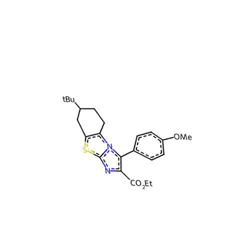 CCOC(=O)c1nc2sc3c(n2c1-c1ccc(OC)cc1)CCC(C(C)(C)C)C3